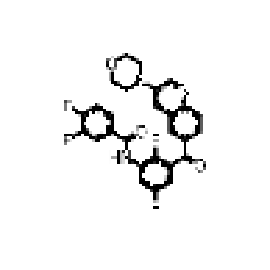 O=C(Nc1cc(F)cc(C(=O)c2ccc3ncc(N4CCOCC4)cc3c2)c1F)c1ccc(F)c(F)c1